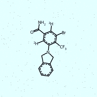 [2H]c1c(Br)c(C(F)(F)F)c(N2Cc3ccccc3C2)c([2H])c1C(N)=O